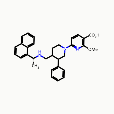 COc1nc(N2CCC(CN[C@H](C)c3cccc4ccccc34)C(c3ccccc3)C2)ccc1C(=O)O